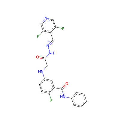 O=C(CNc1ccc(F)c(C(=O)Nc2ccccc2)c1)N/N=C/c1c(F)cncc1F